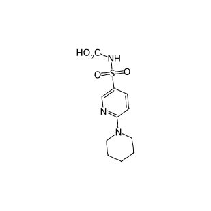 O=C(O)NS(=O)(=O)c1ccc(N2CCCCC2)nc1